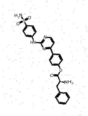 N[C@@H](Cc1ccccc1)C(=O)Oc1ccc(-c2ccnc(Nc3ccc(S(N)(=O)=O)cc3)n2)cc1